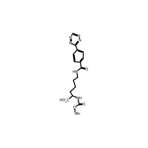 CC(C)(C)OC(=O)NC(CCCCNC(=O)c1ccc(-c2nncnn2)cc1)C(=O)O